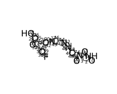 O=C1CCC(N2Cc3cc(N4CCN(CC5CCN(c6ccc(C7c8ccc(O)cc8OCC7c7ccc(F)cc7)cc6)CC5)CC4)ccc3C2=O)C(=O)N1